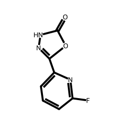 O=c1[nH]nc(-c2cccc(F)n2)o1